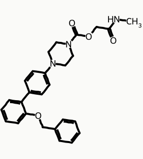 CNC(=O)COC(=O)N1CCN(c2ccc(-c3ccccc3OCc3ccccc3)cc2)CC1